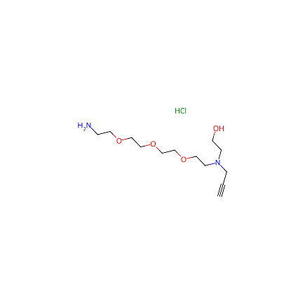 C#CCN(CCO)CCOCCOCCOCCN.Cl